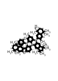 Cc1cc2c3c(c1)N(c1ccccc1C)c1c(ccc4oc5cc6c(cc5c14)C(C)(C)CCC6(C)C)B3c1cc3c(cc1N2c1cc2c(cc1C)C(C)(C)CCC2(C)C)C(C)(C)CC3(C)C